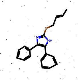 CC=CCSc1nc(-c2ccccc2)c(-c2ccccc2)[nH]1